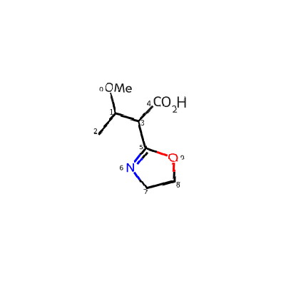 COC(C)C(C(=O)O)C1=NCCO1